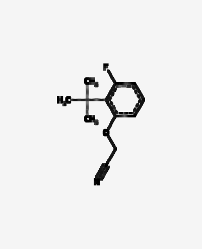 CC(C)(C)c1c(F)cccc1OCC#N